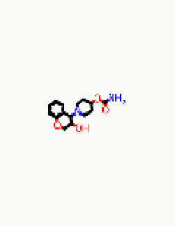 NC(=O)OC1CCN(C2c3ccccc3OCC2O)CC1